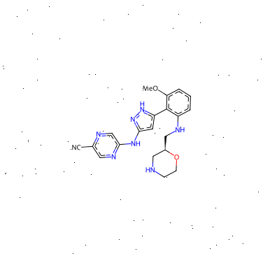 COc1cccc(NC[C@@H]2CNCCO2)c1-c1cc(Nc2cnc(C#N)cn2)n[nH]1